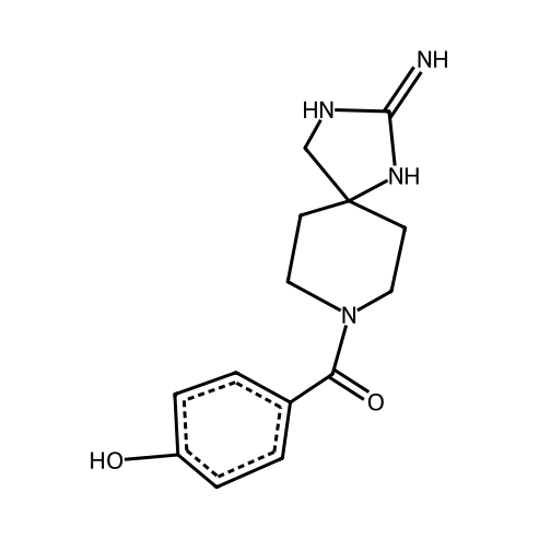 N=C1NCC2(CCN(C(=O)c3ccc(O)cc3)CC2)N1